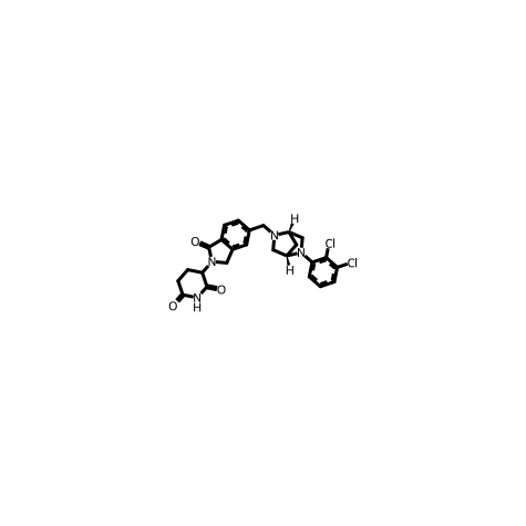 O=C1CCC(N2Cc3cc(CN4C[C@@H]5C[C@H]4CN5c4cccc(Cl)c4Cl)ccc3C2=O)C(=O)N1